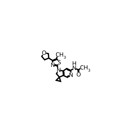 CC(=O)Nc1cc2c(cn1)C1(CC1)CN2c1nc(C2CCOC2)c(C)s1